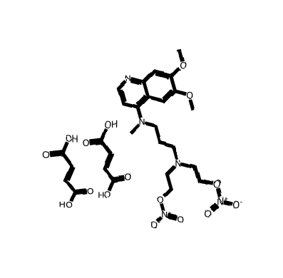 COc1cc2nccc(N(C)CCCN(CCO[N+](=O)[O-])CCO[N+](=O)[O-])c2cc1OC.O=C(O)/C=C/C(=O)O.O=C(O)/C=C/C(=O)O